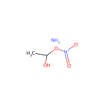 CC(O)O[N+](=O)[O-].N